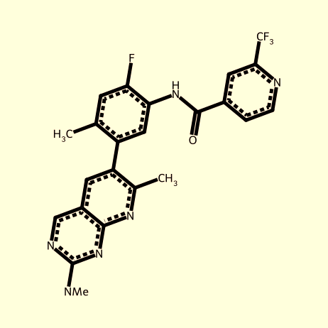 CNc1ncc2cc(-c3cc(NC(=O)c4ccnc(C(F)(F)F)c4)c(F)cc3C)c(C)nc2n1